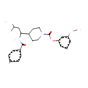 COc1cccc(OC(=O)N2CCC(C(CC(C)C)NC(=O)c3ccc(F)cc3)CC2)c1